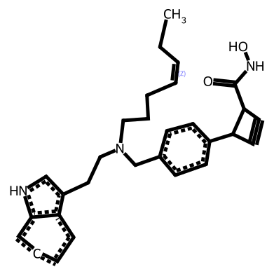 CC/C=C\CCCN(CCc1c[nH]c2ccccc12)Cc1ccc(C2C#CC2C(=O)NO)cc1